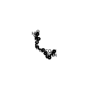 Cc1c(OCCN2CCN(CC3CCN(c4cccc5c(C6CCC(=O)NC6=O)nn(C)c45)CC3)CC2)cccc1-c1ccc(N2CCc3cccc(C(=O)Nc4nc5ccccc5s4)c3C2)nc1C(=O)O